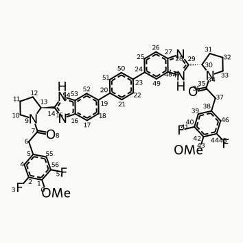 COc1c(F)cc(CC(=O)N2CCC[C@H]2c2nc3ccc(-c4ccc(-c5ccc6nc([C@@H]7CCCN7C(=O)Cc7cc(F)c(OC)c(F)c7)[nH]c6c5)cc4)cc3[nH]2)cc1F